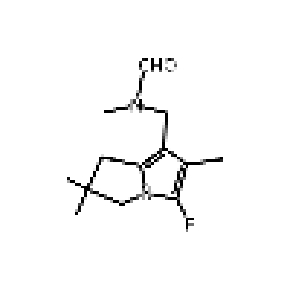 Cc1c(CN(C)C=O)c2n(c1F)CC(C)(C)C2